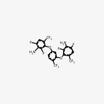 Nc1c(F)cc(C(F)(F)F)c(Oc2ccc(C(F)(F)F)c(Oc3c(C(F)(F)F)cc(F)c(N)c3F)c2)c1F